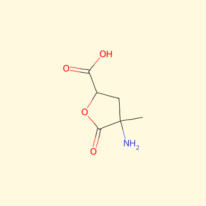 CC1(N)CC(C(=O)O)OC1=O